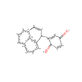 O=C1C=CC(=O)C(C2C=Cc3cccc4cccc2c34)=C1